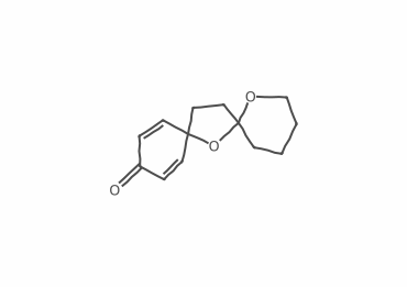 O=C1C=CC2(C=C1)CCC1(CCCCO1)O2